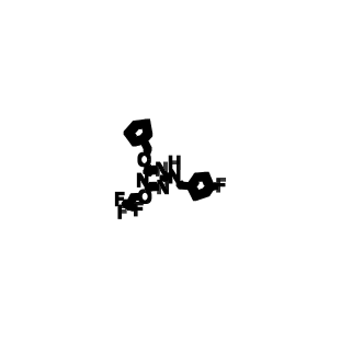 Fc1ccc(CNc2nc(OCc3ccccc3)nc(OCC(F)(F)F)n2)cc1